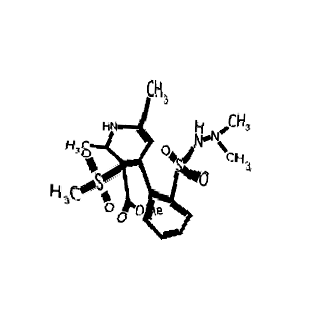 COC(=O)C1(S(C)(=O)=O)C(C)NC(C)=CC1c1ccccc1S(=O)(=O)NN(C)C